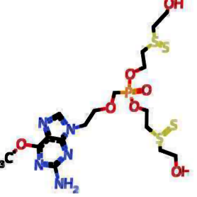 COc1nc(N)nc2c1ncn2CCOCP(=O)(OCCS(=S)CCO)OCCS(=S)CCO